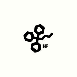 CCCCC(c1ccccc1)(c1ccccc1)c1ccccc1.F